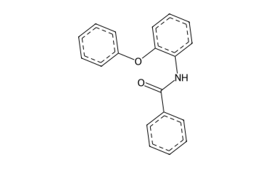 O=C(Nc1ccccc1Oc1ccccc1)c1ccccc1